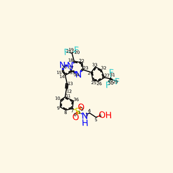 O=S(=O)(NCCO)c1cccc(C#Cc2cnn3c(C(F)F)cc(-c4ccc(C(F)(F)F)cc4)nc23)c1